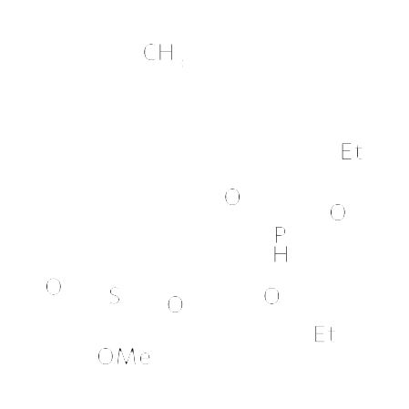 CCO[PH](=O)OCC.COS(=O)(=O)c1ccc(C)cc1